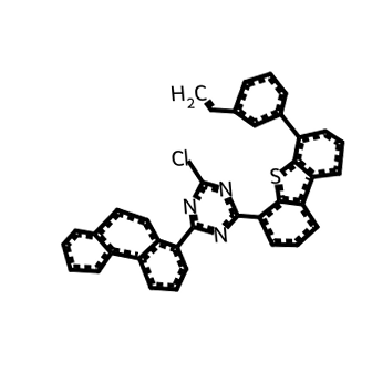 C=Cc1cccc(-c2cccc3c2sc2c(-c4nc(Cl)nc(-c5cccc6c5ccc5ccccc56)n4)cccc23)c1